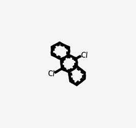 Clc1c2ccccc2c(Cl)c2ccccc12